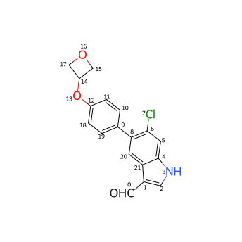 O=Cc1c[nH]c2cc(Cl)c(-c3ccc(OC4COC4)cc3)cc12